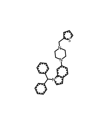 c1ccc(C(c2ccccc2)n2ccc3ccc(N4CCN(Cc5cccs5)CC4)cc32)cc1